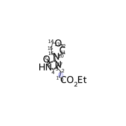 CCOC(=O)/C=C/c1c[nH]c(=O)c(N2CCCOCCC2)n1